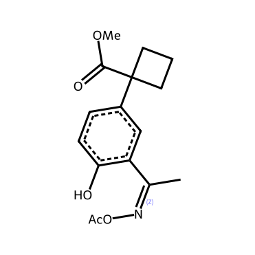 COC(=O)C1(c2ccc(O)c(/C(C)=N\OC(C)=O)c2)CCC1